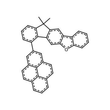 CC1(C)c2cc3c(cc2-c2c(-c4cc5ccc6cccc7ccc(c4)c5c67)cccc21)oc1ccccc13